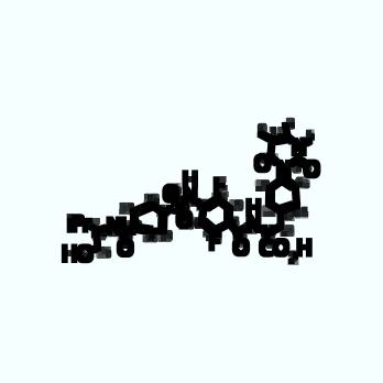 Cc1c(C)n(C)c(=O)n(-c2ccc(C[C@H](NC(=O)c3cc(F)c(NS(=O)(=O)c4ccc(C(=O)N[C@@H](CO)C(C)C)cc4)cc3F)C(=O)O)cc2)c1=O